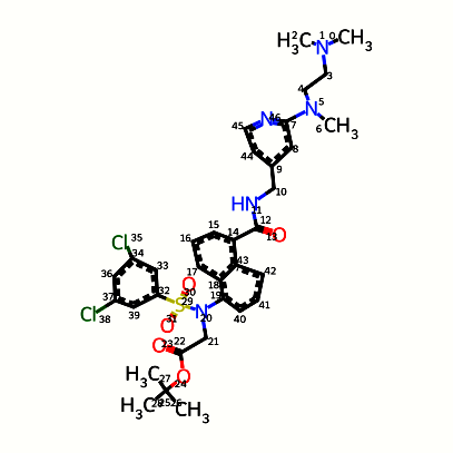 CN(C)CCN(C)c1cc(CNC(=O)c2cccc3c(N(CC(=O)OC(C)(C)C)S(=O)(=O)c4cc(Cl)cc(Cl)c4)cccc23)ccn1